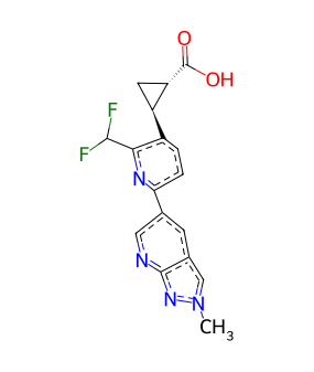 Cn1cc2cc(-c3ccc([C@H]4C[C@@H]4C(=O)O)c(C(F)F)n3)cnc2n1